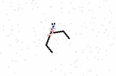 CCCCCCCC/C=C\CCCCCCCC(=O)OCC(COC(=O)NCCN(CC)CC)OC(=O)CCCCCCC/C=C\CCCCCCCC